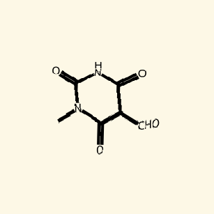 CN1C(=O)NC(=O)C(C=O)C1=O